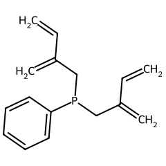 C=CC(=C)CP(CC(=C)C=C)c1ccccc1